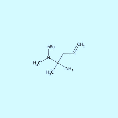 C=CCC(C)(N)N(C)CCCC